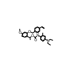 C=Cc1ccc(COc2cc(OC)ccc2C(C)OC(=O)Nc2ccc(N(CC)CC)cc2C)cc1